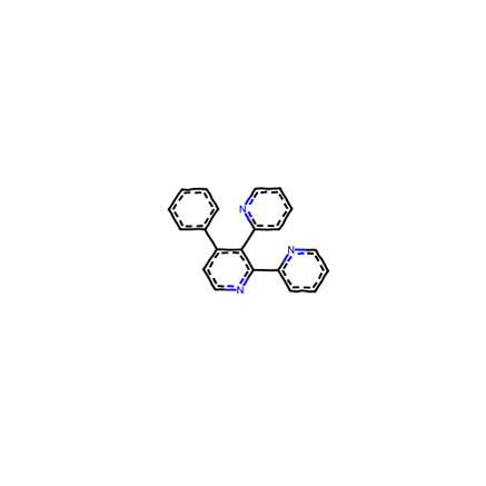 c1ccc(-c2ccnc(-c3ccccn3)c2-c2ccccn2)cc1